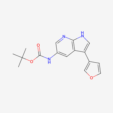 CC(C)(C)OC(=O)Nc1cnc2[nH]cc(-c3ccoc3)c2c1